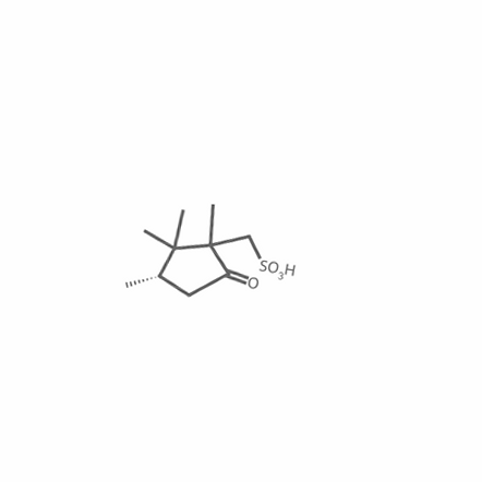 C[C@H]1CC(=O)C(C)(CS(=O)(=O)O)C1(C)C